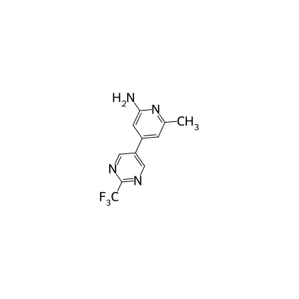 Cc1cc(-c2cnc(C(F)(F)F)nc2)cc(N)n1